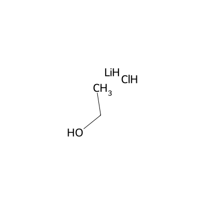 CCO.Cl.[LiH]